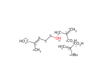 C=C(C)C(=O)O.C=C(CCCC)C(=O)O.CC(=CCCO)C(=O)O